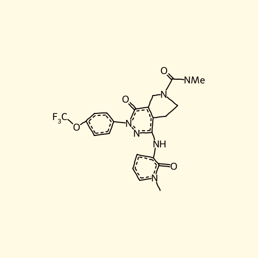 CNC(=O)N1CCc2c(Nc3cccn(C)c3=O)nn(-c3ccc(OC(F)(F)F)cc3)c(=O)c2C1